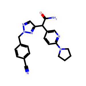 N#Cc1ccc(Cn2ncc(C(C(N)=O)c3ccc(N4CCCC4)nc3)n2)cc1